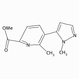 COC(=O)c1ccc(-c2ccnn2C)c(C)n1